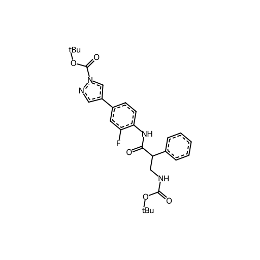 CC(C)(C)OC(=O)NCC(C(=O)Nc1ccc(-c2cnn(C(=O)OC(C)(C)C)c2)cc1F)c1ccccc1